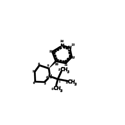 CC(C)(C)N1CCCC[C@@H]1c1ccnnc1